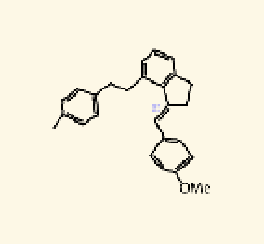 COc1ccc(/C=C2\CCc3cccc(CCc4ccc(C)cc4)c32)cc1